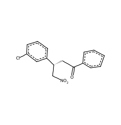 O=C(C[C@H](C[N+](=O)[O-])c1cccc(Cl)c1)c1ccccc1